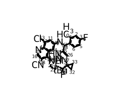 Cc1cc(F)ccc1[C@H](Nc1cc(Cl)c2ncc(C#N)c(NCC(C)(C)C)c2c1)C1=CN(C2(C(F)F)CC2)NN1